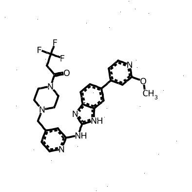 COc1cc(-c2ccc3nc(Nc4cc(CN5CCN(C(=O)CC(F)(F)F)CC5)ccn4)[nH]c3c2)ccn1